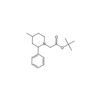 CC1CCN(CC(=O)OC(C)(C)C)C(c2ccccc2)C1